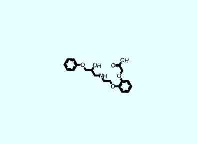 O=C(O)COc1ccccc1OCCNCC(O)COc1ccccc1